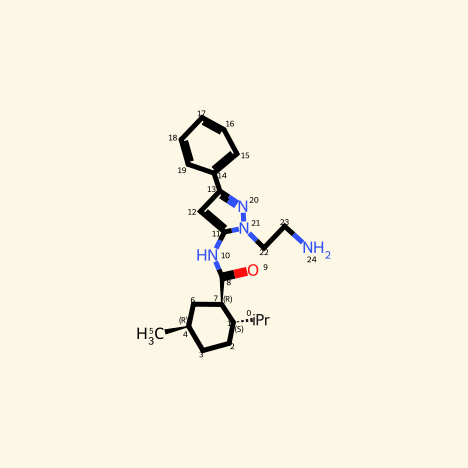 CC(C)[C@@H]1CC[C@@H](C)C[C@H]1C(=O)Nc1cc(-c2ccccc2)nn1CCN